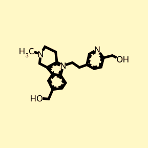 CN1CCc2c(c3cc(CO)ccc3n2CCc2ccc(CO)nc2)C1